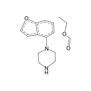 CCOC=O.c1cc(N2CCNCC2)c2ccoc2c1